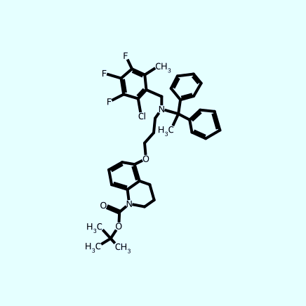 Cc1c(F)c(F)c(F)c(Cl)c1CN(CCCOc1cccc2c1CCCN2C(=O)OC(C)(C)C)C(C)(c1ccccc1)c1ccccc1